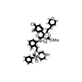 COC(=O)N[C@H](C(=O)Nc1cccc(F)c1CC[C@H]1CNCCN1S(=O)(=O)c1ccccc1)[C@H](CCCC1CCOCC1)c1ccc(Cl)c(F)c1